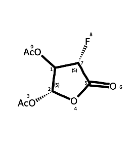 CC(=O)OC1[C@@H](OC(C)=O)OC(=O)[C@H]1F